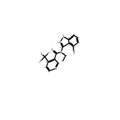 CCN(C(=O)c1cnccc1C(F)(F)F)c1nsc2cccc(Cl)c12